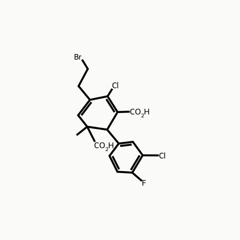 CC1(C(=O)O)C=C(CCBr)C(Cl)=C(C(=O)O)C1c1ccc(F)c(Cl)c1